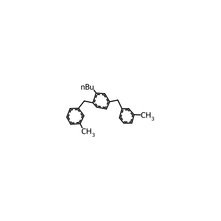 CCCCc1cc(Cc2cccc(C)c2)ccc1Cc1cccc(C)c1